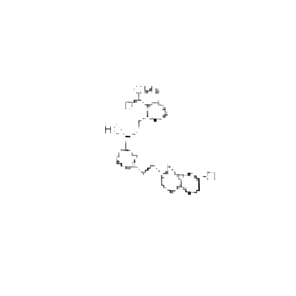 COC(=O)c1ccccc1CCC(O)c1cccc(/C=C/c2ccc3ccc(Cl)cc3n2)c1